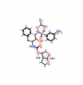 CCC(CC)ON(C[C@@H](O)[C@H](Cc1ccccc1)NC(=O)O[C@H]1CO[C@H]2OCC[C@H]21)S(=O)(=O)c1cccc(N)c1